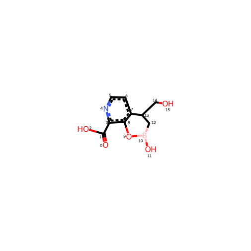 O=C(O)c1nccc2c1OB(O)CC2CO